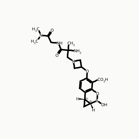 CN(C)C(=O)CNC(=O)C(C)(N)CN1CC(Oc2ccc3c(c2C(=O)O)OB(O)[C@@H]2C[C@H]32)C1